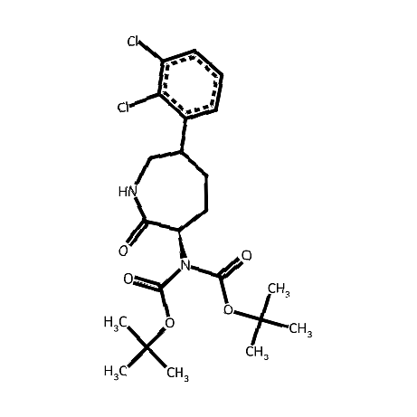 CC(C)(C)OC(=O)N(C(=O)OC(C)(C)C)[C@@H]1CCC(c2cccc(Cl)c2Cl)CNC1=O